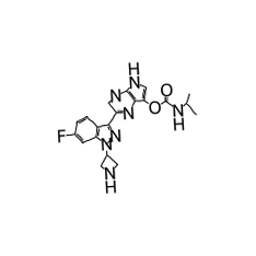 CC(C)NC(=O)Oc1c[nH]c2ncc(-c3nn(C4CNC4)c4cc(F)ccc34)nc12